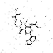 CCC(C)Nc1nc(-c2cnn3ccsc23)nc(C(=O)N2CCC(NC(=O)OC)CC2)c1OC